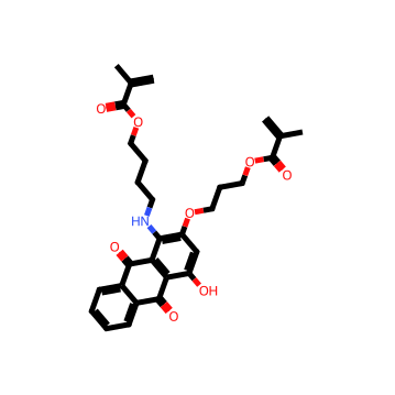 C=C(C)C(=O)OCCCCNc1c(OCCCOC(=O)C(=C)C)cc(O)c2c1C(=O)c1ccccc1C2=O